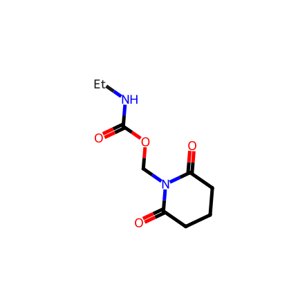 CCNC(=O)OCN1C(=O)CCCC1=O